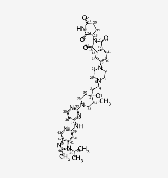 COC1(CCN2CCN(c3ccc4c(c3)C(=O)N(C3CCC(=O)NC3=O)C4=O)CC2)CCN(c2nccc(Nc3cc4c(cn3)nc(C)n4C(C)C)n2)CC1